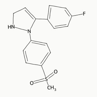 CS(=O)(=O)c1ccc(N2NCC=C2c2ccc(F)cc2)cc1